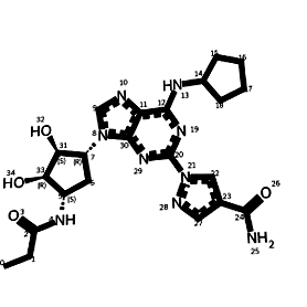 CCC(=O)N[C@H]1C[C@@H](n2cnc3c(NC4CCCC4)nc(-n4cc(C(N)=O)cn4)nc32)[C@H](O)[C@@H]1O